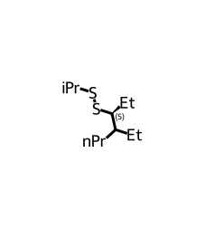 CCCC(CC)[C@H](CC)SSC(C)C